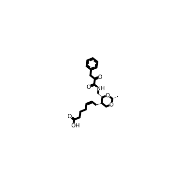 C[C@@H]1OC[C@H](C/C=C\CCCC(=O)O)[C@H](CNC(=O)C(=O)Cc2ccccc2)O1